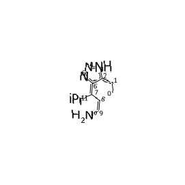 C/C=c1/[nH]nn/c1=C(/C=C\N)C(C)C